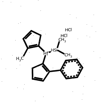 CC1=[C]([Hf]([C]2=C(c3ccccc3)C=CC2)[SiH](C)C)CC=C1.Cl.Cl